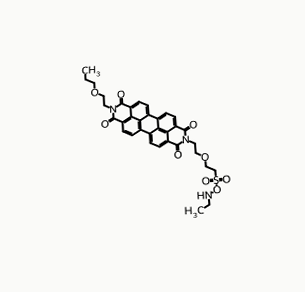 CCCOCCN1C(=O)c2ccc3c4ccc5c6c(ccc(c7ccc(c2c37)C1=O)c64)C(=O)N(CCOCCS(=O)(=O)ONCC)C5=O